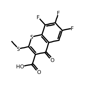 CSc1sc2c(F)c(F)c(F)cc2c(=O)c1C(=O)O